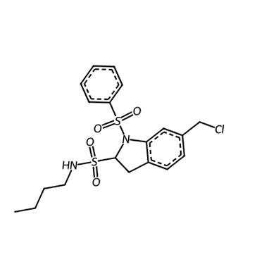 CCCCNS(=O)(=O)C1Cc2ccc(CCl)cc2N1S(=O)(=O)c1ccccc1